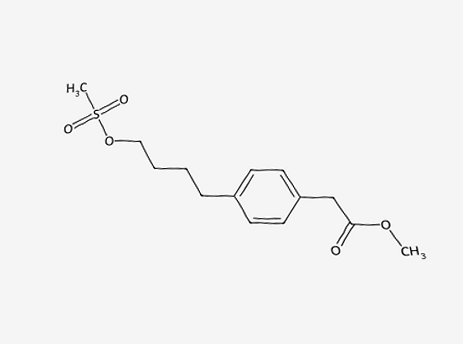 COC(=O)Cc1ccc(CCCCOS(C)(=O)=O)cc1